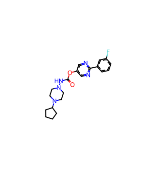 O=C(NN1CCN(C2CCCC2)CC1)Oc1cnc(-c2cccc(F)c2)nc1